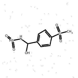 CS(=O)(=O)c1ccc(C(O)N[SH](=O)=O)cc1